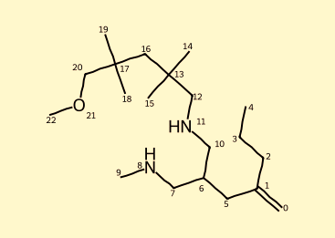 C=C(CCC)CC(CNC)CNCC(C)(C)CC(C)(C)COC